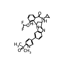 CP(C)(=O)c1ccc(-c2ccc3nc4n(c3c2)[C@@H]2C[C@H]4N(C3CC3)C(=O)c3cccc(OC(F)F)c32)cn1